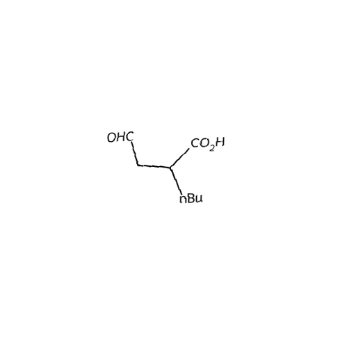 CCCCC(CC=O)C(=O)O